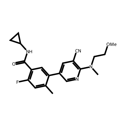 COCCN(C)c1ncc(-c2cc(C(=O)NC3CC3)c(F)cc2C)cc1C#N